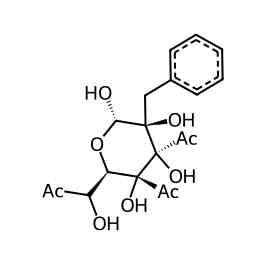 CC(=O)C(O)[C@H]1O[C@H](O)[C@](O)(Cc2ccccc2)[C@](O)(C(C)=O)[C@@]1(O)C(C)=O